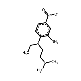 CCN(CCN(C)C)c1ccc([N+](=O)[O-])cc1N